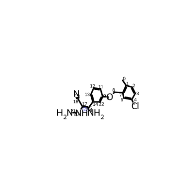 Cc1ccc(Cl)cc1COc1cccc(/C(N)=C(\C#N)NN)c1